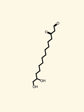 O=CCC(=O)CCCCCCCCCCC(O)CO